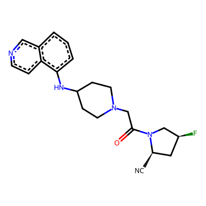 N#C[C@@H]1C[C@H](F)CN1C(=O)CN1CCC(Nc2cccc3cnccc23)CC1